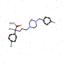 COC(=O)C(CCCN1CCN(Cc2ccc(F)cc2)CC1)(c1ccc(Br)cc1)C(C)C